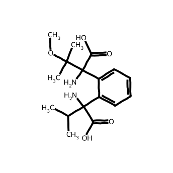 COC(C)(C)C(N)(C(=O)O)c1ccccc1C(N)(C(=O)O)C(C)C